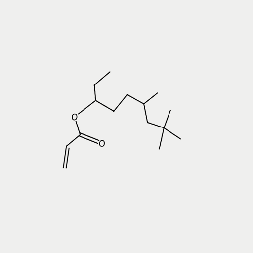 C=CC(=O)OC(CC)CCC(C)CC(C)(C)C